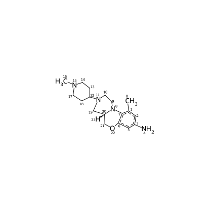 Cc1cc(N)cc2c1N1CCN(C3CCN(C)CC3)C[C@H]1CO2